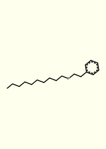 CCCCCCCCCC[P]CCc1ccccc1